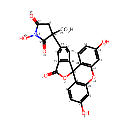 O=C1OC2(c3ccc(O)cc3Oc3cc(O)ccc32)c2ccc(C3(C(=O)O)CC(=O)N(O)C3=O)cc21